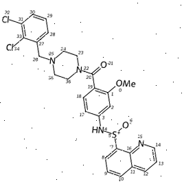 COc1cc(N[S+]([O-])c2cccc3cccnc23)ccc1C(=O)N1CCN(Cc2cccc(Cl)c2Cl)CC1